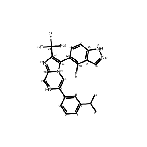 CC(C)c1cccc(-c2cn3c(-c4ccc5[nH]ncc5c4F)c(C(F)(F)F)nc3cn2)c1